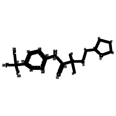 CC(C)(SCC1CCCO1)C(=O)Nc1ccc(C(F)(F)F)cn1